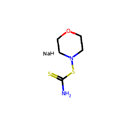 NC(=S)SN1CCOCC1.[NaH]